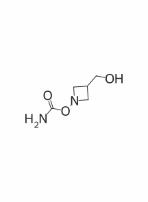 NC(=O)ON1CC(CO)C1